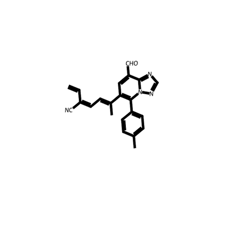 C=C/C(C#N)=C\C=C(/C)c1cc(C=O)c2ncnn2c1-c1ccc(C)cc1